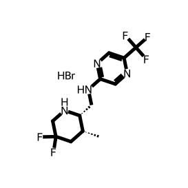 Br.C[C@@H]1CC(F)(F)CN[C@@H]1CNc1cnc(C(F)(F)F)cn1